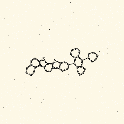 c1ccc(-c2c3ccccc3c(-c3ccc4c(c3)sc3c4ccc4c3sc3ccc5ccccc5c34)c3ccccc23)cc1